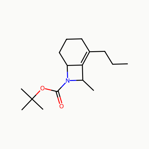 CCCC1=C2C(C)N(C(=O)OC(C)(C)C)C2CCC1